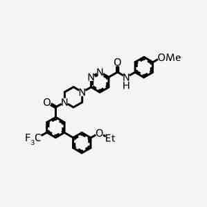 CCOc1cccc(-c2cc(C(=O)N3CCN(c4ccc(C(=O)Nc5ccc(OC)cc5)nn4)CC3)cc(C(F)(F)F)c2)c1